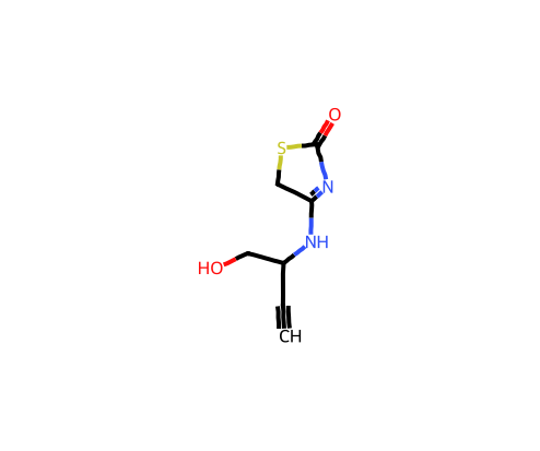 C#CC(CO)NC1=NC(=O)SC1